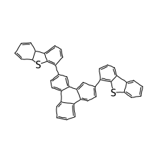 C1=CC2Sc3c(-c4ccc5c6ccccc6c6ccc(-c7cccc8c7sc7ccccc78)cc6c5c4)cccc3C2C=C1